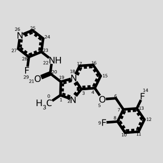 Cc1nc2c(OCc3c(F)cccc3F)cccn2c1C(=O)Nc1ccncc1F